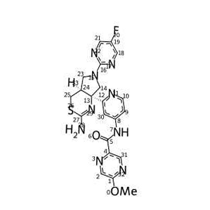 COc1cnc(C(=O)Nc2ccnc([C@@]34CN(c5ncc(F)cn5)C[C@@H]3CSC(N)=N4)c2)cn1